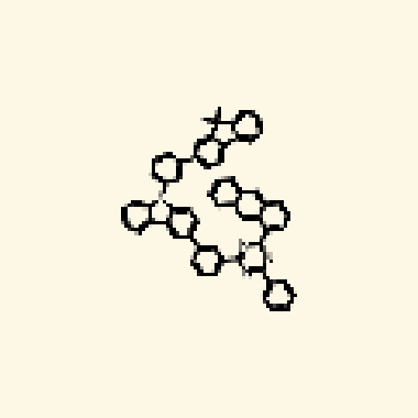 CC1(C)c2ccccc2-c2ccc(-c3cccc(-n4c5ccccc5c5cc(-c6cccc(-c7nc(-c8ccccc8)nc(-c8cccc9cc%10ccccc%10cc89)n7)c6)ccc54)c3)cc21